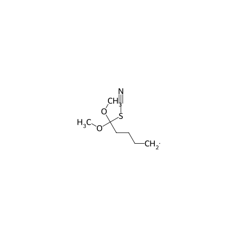 [CH2]CCCC(OC)(OC)SC#N